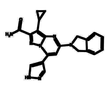 NC(=O)c1nn2c(-c3cn[nH]c3)cc(N3Cc4ccccc4C3)nc2c1C1CC1